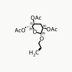 C=CCO[C@@H]1O[C@H](COC(C)=O)[C@@H](OC(C)=O)C[C@H]1OC(C)=O